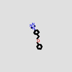 c1ccc(COCCc2ccc(-n3cnnc3)cc2)cc1